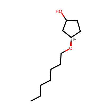 CCCCCCCO[C@@H]1CCC(O)C1